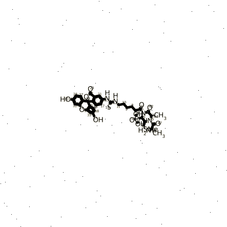 CSCCC(N(C(=O)CCCCCNC(=S)Nc1ccc2c(c1)C(=O)OC21c2ccc(O)cc2Oc2cc(O)ccc21)C(=O)[C@H](C)NC(=O)[C@H](C)N)P(=O)(O)O